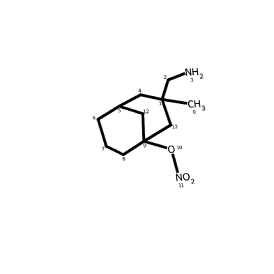 CC1(CN)CC2CCCC(O[N+](=O)[O-])(C2)C1